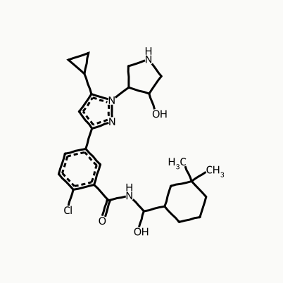 CC1(C)CCCC(C(O)NC(=O)c2cc(-c3cc(C4CC4)n(C4CNCC4O)n3)ccc2Cl)C1